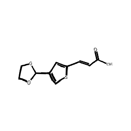 O=C(O)C=Cc1cc(C2OCCO2)cs1